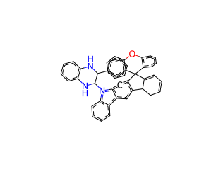 C1=CCC2C(=C1)C1(c3ccccc3Oc3ccccc31)c1cc3c(cc12)c1ccccc1n3C1Nc2ccccc2NC1c1ccccc1